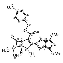 CSc1nc(SC)n2cc(C3=C(C(=O)OCc4ccc([N+](=O)[O-])cc4)N4C(=O)[C@H]([C@@H](C)O)[C@H]4[C@H]3C)sc12